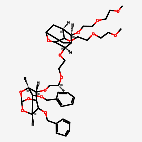 COCCOCCOC1C2OC3CC([C@H]2OCCO[C@H](C)CO[C@@H]2C4OC5O[C@@H](C4OCc4ccccc4)C(OCc4ccccc4)[C@H]2O5)[C@H](OCCOCCOC)[C@@H]1C3